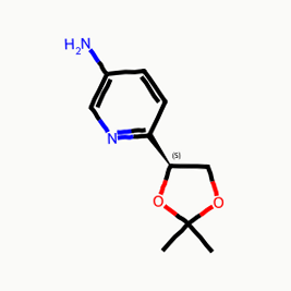 CC1(C)OC[C@H](c2ccc(N)cn2)O1